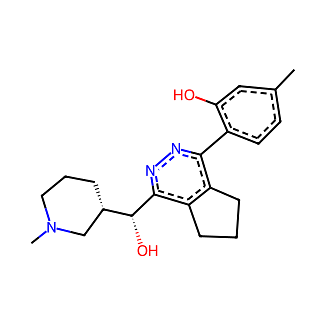 Cc1ccc(-c2nnc([C@H](O)[C@H]3CCCN(C)C3)c3c2CCC3)c(O)c1